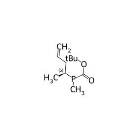 C=CC[C@H](C)P(C)C(=O)OC(C)(C)C